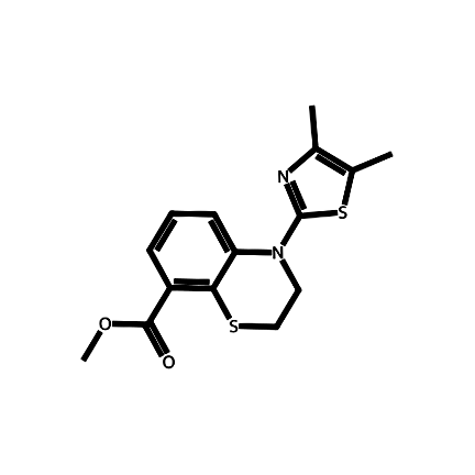 COC(=O)c1cccc2c1SCCN2c1nc(C)c(C)s1